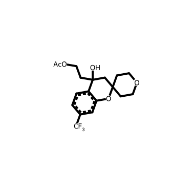 CC(=O)OCCC1(O)CC2(CCOCC2)Oc2cc(C(F)(F)F)ccc21